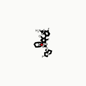 Nc1nc2c(-c3c(Cl)cc4c(N5C6CCCC5CNC6)nc(OC[C@@]56CCCN5C[C@H](F)C6)nc4c3F)ccc(F)c2s1